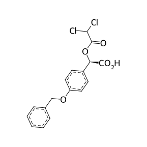 O=C(O[C@@H](C(=O)O)c1ccc(OCc2ccccc2)cc1)C(Cl)Cl